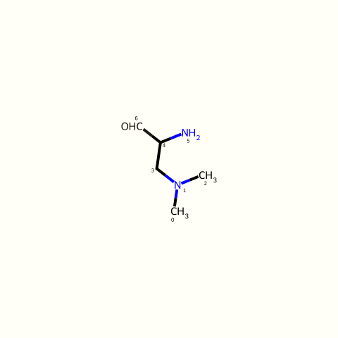 CN(C)CC(N)C=O